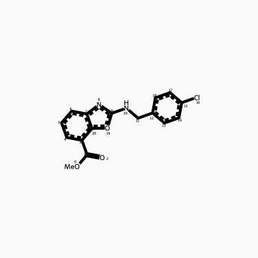 COC(=O)c1cccc2nc(NCc3ccc(Cl)cc3)oc12